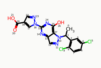 CC(c1cc(Cl)ccc1Cl)n1ncc2nc(-n3cc(C(=O)O)cn3)nc(O)c21